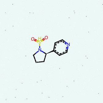 O=[SH](=O)N1CCC[C@@H]1c1ccncc1